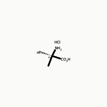 CCC[C@](C)(N)C(=O)O.Cl